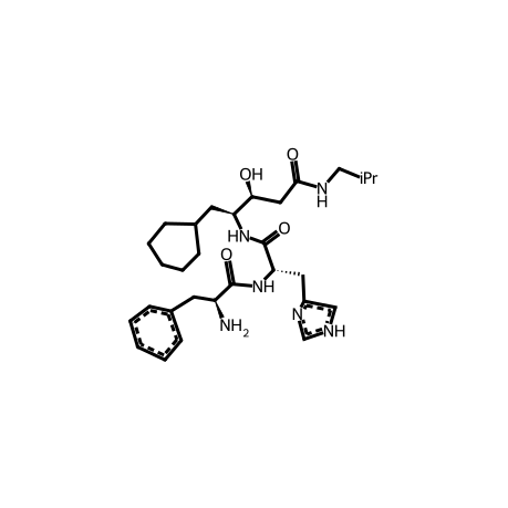 CC(C)CNC(=O)C[C@H](O)[C@H](CC1CCCCC1)NC(=O)[C@H](Cc1c[nH]cn1)NC(=O)[C@@H](N)Cc1ccccc1